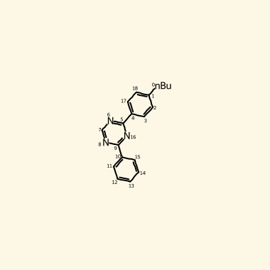 CCCCc1ccc(-c2ncnc(-c3ccccc3)n2)cc1